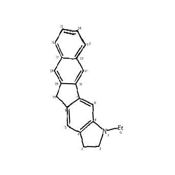 CCN1CCc2cc3c(cc21)-c1cc2ccccc2cc1C3